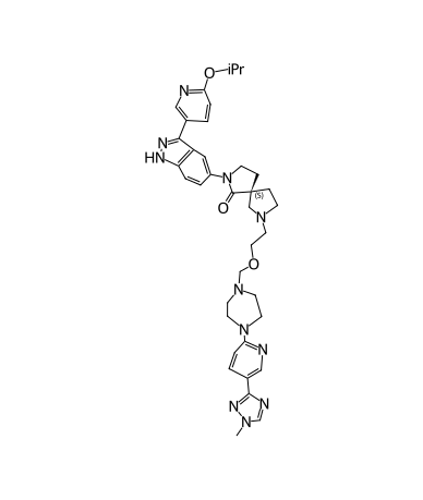 CC(C)Oc1ccc(-c2n[nH]c3ccc(N4CC[C@]5(CCN(CCOCN6CCN(c7ccc(-c8ncn(C)n8)cn7)CC6)C5)C4=O)cc23)cn1